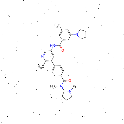 CCN1CCC[C@H]1N(C)C(=O)c1ccc(-c2cc(NC(=O)c3cc(N4CCCC4)cc(C(F)(F)F)c3)cnc2C)cc1